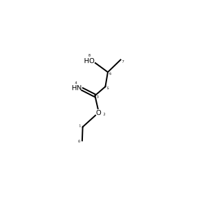 CCOC(=N)CC(C)O